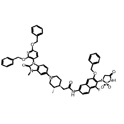 C[C@@H]1CN(c2ccc3c(c2)n(C)c(=O)n3-c2ccc(OCc3ccccc3)nc2OCc2ccccc2)CC[C@H]1CC(=O)Nc1ccc2c(F)c(N3CC(=O)NS3(=O)=O)c(OCc3ccccc3)cc2c1